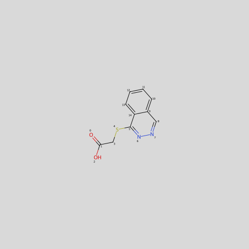 O=C(O)CSc1nncc2ccccc12